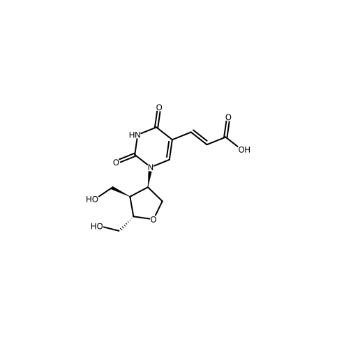 O=C(O)/C=C/c1cn([C@H]2CO[C@H](CO)[C@H]2CO)c(=O)[nH]c1=O